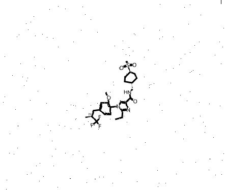 CCc1nc(C(=O)NC[C@H]2CC[C@H](S(C)(=O)=O)CC2)cn1-c1ccc(C[C@H](C)C(F)(F)F)cc1OC